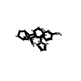 Cc1ccc(OCC2CC3CCC2N3C(=O)c2ccccc2-n2nccn2)nc1